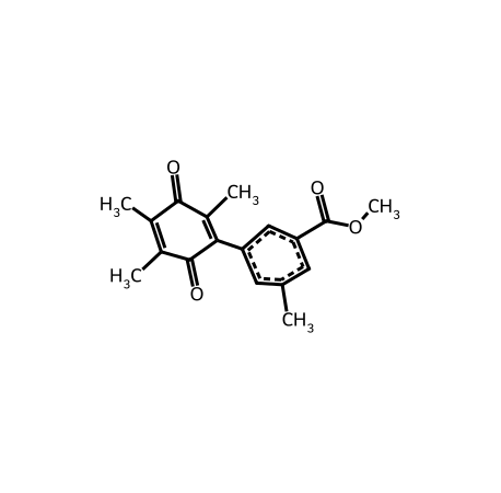 COC(=O)c1cc(C)cc(C2=C(C)C(=O)C(C)=C(C)C2=O)c1